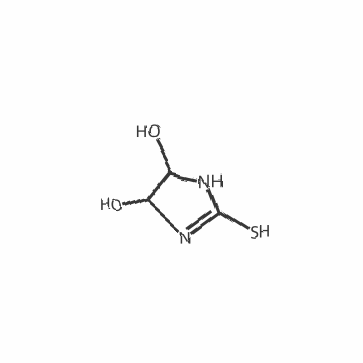 OC1N=C(S)NC1O